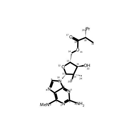 CNc1nc(N)nc2c1ncn2[C@@H]1O[C@H](COC(=O)[C@@H](C)C(C)C)[C@@H](O)[C@@]1(C)F